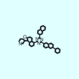 c1ccc(-c2ccc3cc(-c4nc(-c5ccc6ccccc6c5)nc(-c5cccc6c5ccc5oc7ccncc7c56)n4)ccc3c2)cc1